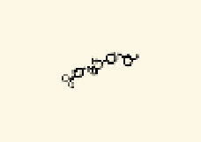 COC(=O)c1ccc(Cn2ccc3cc(C4CCN(Cc5cccc(F)c5)CC4)cnc32)cc1